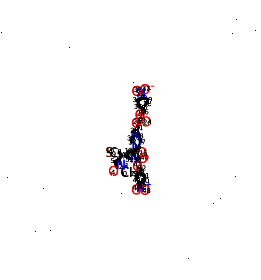 CCN1C(=O)CC1C(C=C=S)[C@@H]1C[C@@H](C(=O)N2CCN(CCOC(=O)OCc3ccc([N+](=O)[O-])cc3)CC2)N(C(=O)OCc2ccc([N+](=O)[O-])cc2)C1